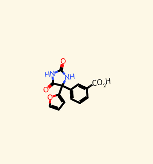 O=C1NC(=O)C(c2cccc(C(=O)O)c2)(c2ccco2)N1